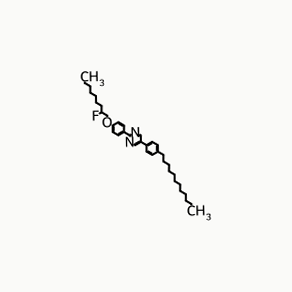 CCCCCCCCCCCCc1ccc(-c2cnc(-c3ccc(OCC(F)CCCCCCC)cc3)nc2)cc1